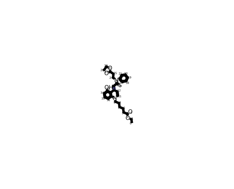 CCOC(=O)CCCCCN1C=C/C(=C\c2sc3ccccc3[n+]2CCC2OCCO2)c2c(O)cccc21